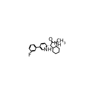 CN1C(=O)[C@@H](c2ccc(-c3cccc(F)c3)cn2)[C@@H]2CCCC[C@@H]21